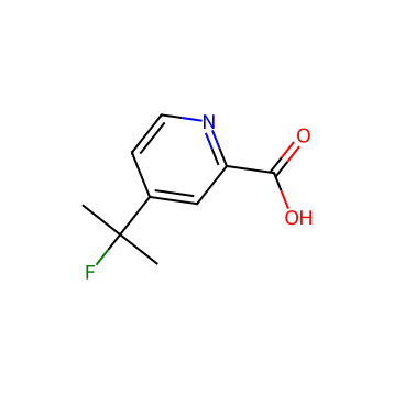 CC(C)(F)c1ccnc(C(=O)O)c1